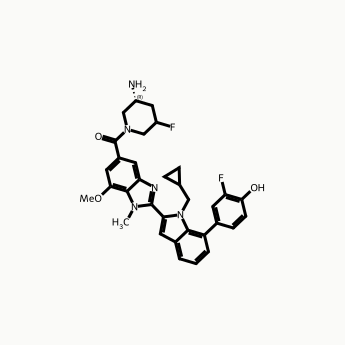 COc1cc(C(=O)N2CC(F)C[C@@H](N)C2)cc2nc(-c3cc4cccc(-c5ccc(O)c(F)c5)c4n3CC3CC3)n(C)c12